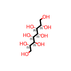 OC[C@H](O)[C@H](O)[C@H](O)[C@@H](O)[C@H](O)[C@@H](O)CO